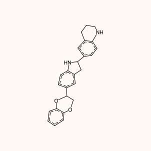 c1ccc2c(c1)OCC(c1ccc3c(c1)CC(c1ccc4c(c1)CCCN4)N3)O2